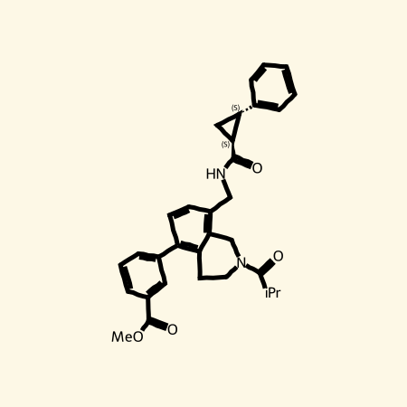 COC(=O)c1cccc(-c2ccc(CNC(=O)[C@H]3C[C@@H]3c3ccccc3)c3c2CCN(C(=O)C(C)C)C3)c1